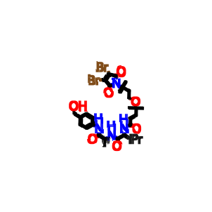 CC(C)C(NC(=O)CCC(C)(C)OCCC(C)(C)N1C(=O)C(Br)=C(Br)C1=O)C(=O)N[C@@H](C)C(=O)Nc1ccc(CO)cc1